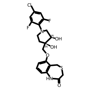 O=C1CSCc2c(cccc2OC[C@]2(O)CCN(c3c(F)cc(Cl)cc3F)C[C@H]2O)N1